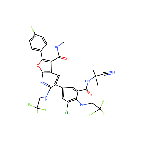 CNC(=O)c1c(-c2ccc(F)cc2)oc2nc(NCC(F)(F)F)c(-c3cc(Cl)c(NCC(F)(F)F)c(C(=O)NC(C)(C)C#N)c3)cc12